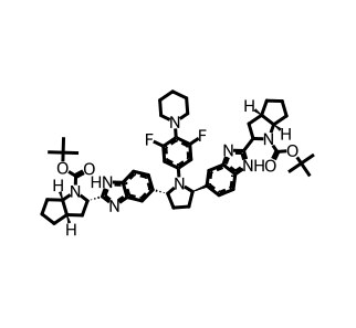 CC(C)(C)OC(=O)N1C(c2nc3cc([C@H]4CC[C@H](c5ccc6[nH]c([C@@H]7C[C@@H]8CCC[C@@H]8N7C(=O)OC(C)(C)C)nc6c5)N4c4cc(F)c(N5CCCCC5)c(F)c4)ccc3[nH]2)C[C@@H]2CCC[C@@H]21